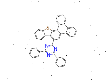 c1ccc(-c2nc(-c3ccccc3)nc(-c3cc4c5ccccc5c5ccccc5c4c4sc5ccccc5c34)n2)cc1